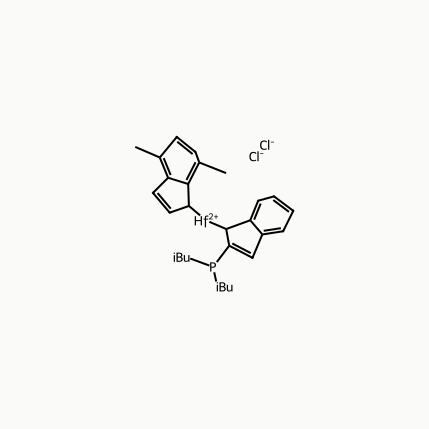 CCC(C)P(C1=Cc2ccccc2[CH]1[Hf+2][CH]1C=Cc2c(C)ccc(C)c21)C(C)CC.[Cl-].[Cl-]